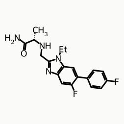 CCn1c(CN[C@@H](C)C(N)=O)nc2cc(F)c(-c3ccc(F)cc3)cc21